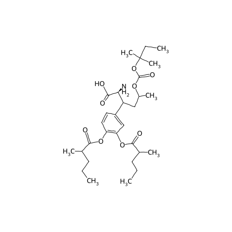 CCCC(C)C(=O)Oc1ccc(C(CC(C)OC(=O)OC(C)(C)CC)[C@H](N)C(=O)O)cc1OC(=O)C(C)CCC